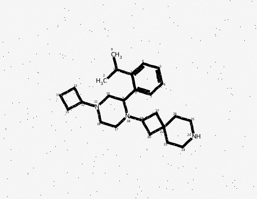 CC(C)c1ccccc1C1CN(C2CCC2)CCN1C1CC2(CCNCC2)C1